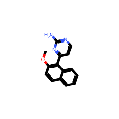 COc1ccc2ccccc2c1-c1ccnc(N)n1